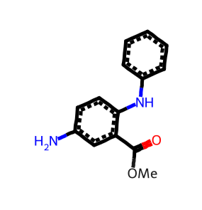 COC(=O)c1cc(N)ccc1Nc1ccccc1